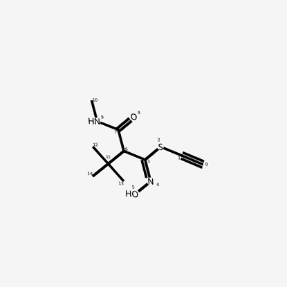 C#CSC(=NO)C(C(=O)NC)C(C)(C)C